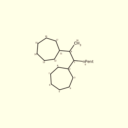 CCCCCC(C1CCCCCC1)C(C)C1CCCCCC1